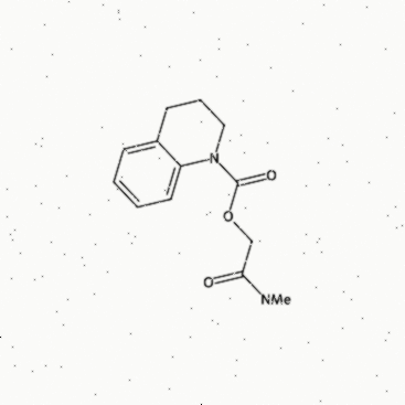 CNC(=O)COC(=O)N1CCCc2ccccc21